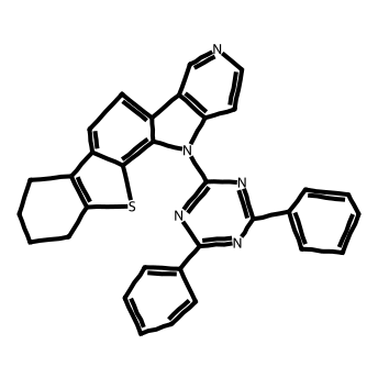 c1ccc(-c2nc(-c3ccccc3)nc(-n3c4ccncc4c4ccc5c6c(sc5c43)CCCC6)n2)cc1